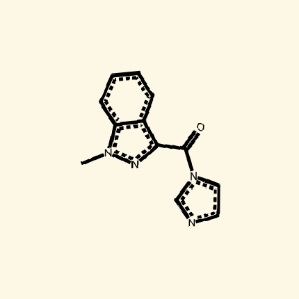 Cn1nc(C(=O)n2ccnc2)c2ccccc21